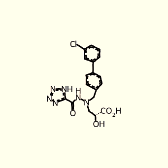 O=C(NN(Cc1ccc(-c2cccc(Cl)c2)cc1)C[C@@H](O)C(=O)O)c1nnn[nH]1